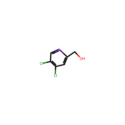 OCC1=CC(Cl)=C(Cl)C=I1